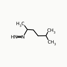 CC(C)CCC(C)N=N